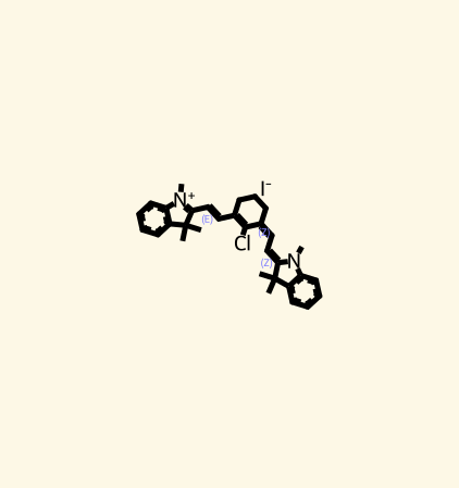 CN1/C(=C\C=C2\CCCC(/C=C/C3=[N+](C)c4ccccc4C3(C)C)=C2Cl)C(C)(C)c2ccccc21.[I-]